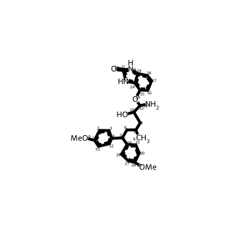 COc1ccc(C(CC(C)CC(O)C(N)Oc2cccc3[nH]c(=O)[nH]c23)c2ccc(OC)cc2)cc1